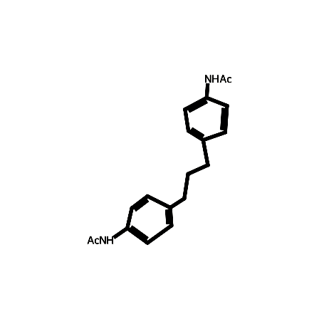 CC(=O)Nc1ccc(CCCc2ccc(NC(C)=O)cc2)cc1